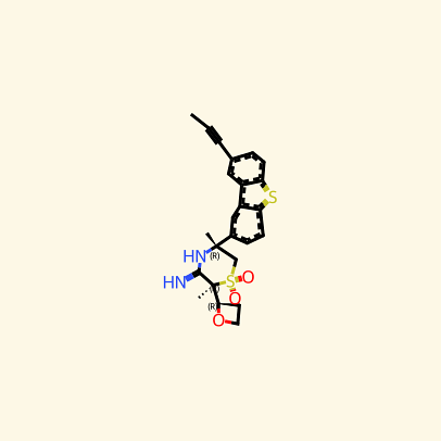 CC#Cc1ccc2sc3ccc([C@]4(C)CS(=O)(=O)[C@@](C)([C@H]5CCO5)C(=N)N4)cc3c2c1